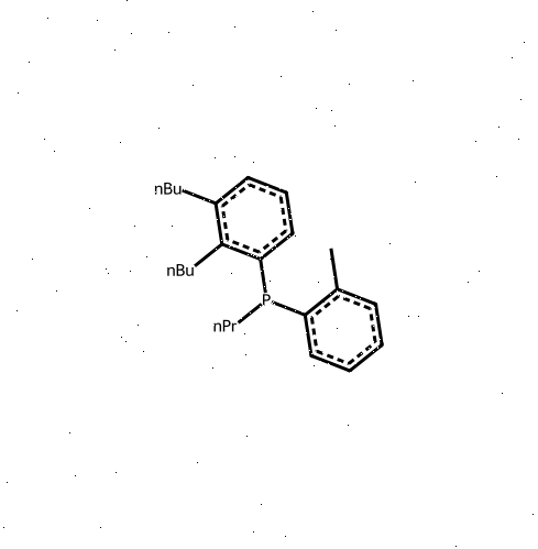 CCCCc1cccc(P(CCC)c2ccccc2C)c1CCCC